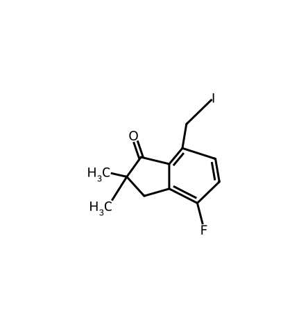 CC1(C)Cc2c(F)ccc(CI)c2C1=O